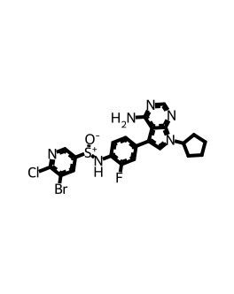 Nc1ncnc2c1c(-c1ccc(N[S+]([O-])c3cnc(Cl)c(Br)c3)c(F)c1)cn2C1CCCC1